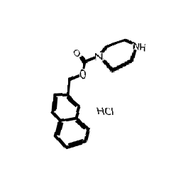 Cl.O=C(OCc1ccc2ccccc2c1)N1CCNCC1